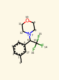 Cc1cccc(C(N2CCOCC2)C(F)(F)F)c1